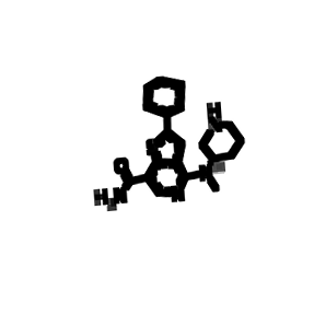 CN(c1ncc(C(N)=O)c2sc(-c3ccccc3)cc12)[C@H]1CCCNC1